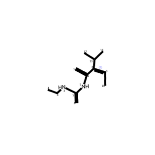 C=C(NCC)NC(=C)/C(=C\C)C(C)C